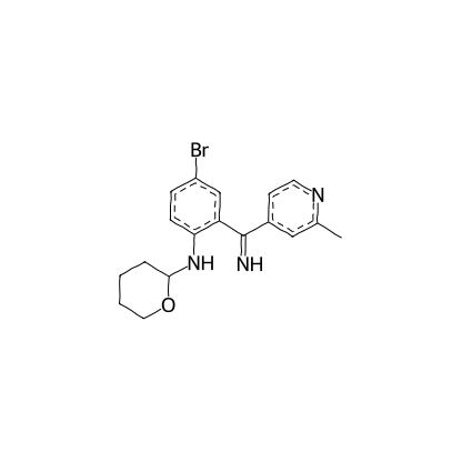 Cc1cc(C(=N)c2cc(Br)ccc2NC2CCCCO2)ccn1